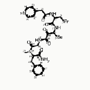 CCC(C)C(NC(=O)C(CC(C)C)NC(=O)Cc1ccncc1)C(=O)C(=O)NCC(=O)N(C)C(Cc1ccccc1)C(N)=O